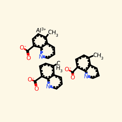 Cc1ccc(C(=O)[O-])c2ncccc12.Cc1ccc(C(=O)[O-])c2ncccc12.Cc1ccc(C(=O)[O-])c2ncccc12.[Al+3]